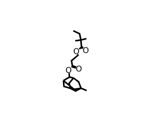 CCC(C)(C)C(=O)OCCC(=O)OC1C2CC3CC1CC(C)(C3)C2